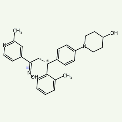 Cc1cc(/C(C[C@H](c2ccc(N3CCC(O)CC3)cc2)c2ccccc2C)=N/O)ccn1